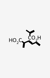 C=C(C)C(=O)O.C=CC=CC(=C)C(=O)O